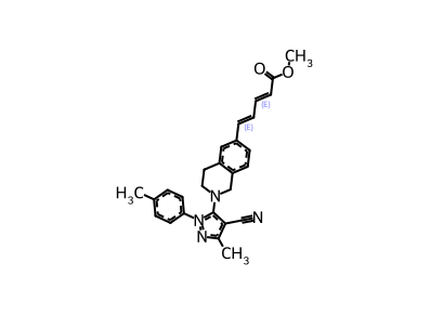 COC(=O)/C=C/C=C/c1ccc2c(c1)CCN(c1c(C#N)c(C)nn1-c1ccc(C)cc1)C2